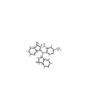 FC(F)(F)c1ccc(C(c2c[nH]c3ccccc23)c2c[nH]c3ccccc23)c(C(F)(F)F)c1